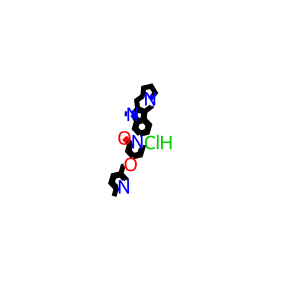 Cc1ccc(COc2ccn(-c3ccc4c5c(n(C)c4c3)CC3CCCN3C5)c(=O)c2)cn1.Cl